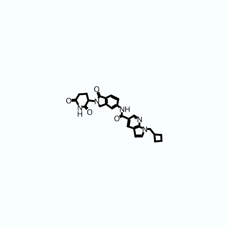 O=C1CCC(N2Cc3cc(NC(=O)c4cnc5c(ccn5CC5CCC5)c4)ccc3C2=O)C(=O)N1